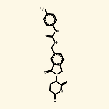 O=C1CCC(N2Cc3ccc(CNC(=O)Nc4ccc(C(F)(F)F)cc4)cc3C2=O)C(=O)N1